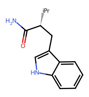 CC(C)[C@H](Cc1c[nH]c2ccccc12)C(N)=O